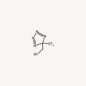 CC(C)CC1(C(F)(F)F)N=NN=N1